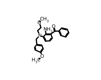 COCCN(Cc1ccc(OC)cc1)c1cccc(C(=O)c2ccccc2)c1N